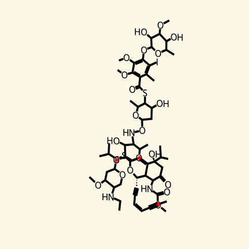 CC#C/C=C\C#C[C@H](OC1OC(C)C(NOC2CC(O)C(SC(=O)c3c(C)c(I)c(OC4OC(C)C(O)C(OC)C4O)c(OC)c3OC)C(C)O2)C(O)C1OC1CC(OC)C(NCC)CO1)C1/C(=C\CSSC(C)C)[C@](O)(C(C)C)CC(=O)C1NC(=O)OC